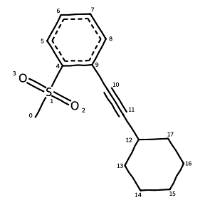 CS(=O)(=O)c1ccccc1C#CC1CCCCC1